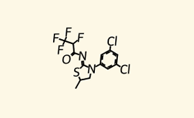 CC1CN(c2cc(Cl)cc(Cl)c2)C(=NC(=O)C(F)C(F)(F)F)S1